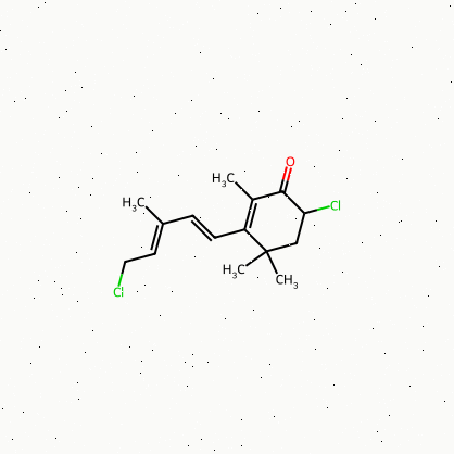 CC(C=CC1=C(C)C(=O)C(Cl)CC1(C)C)=CCCl